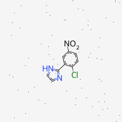 O=[N+]([O-])c1ccc(Cl)c(-c2ncc[nH]2)c1